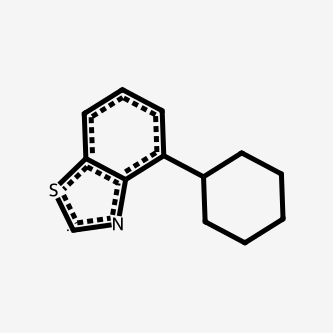 [c]1nc2c(C3CCCCC3)cccc2s1